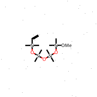 C=C[Si](C)(C)O[Si](C)(C)O[Si](C)(C)O[Si](C)(C)OC